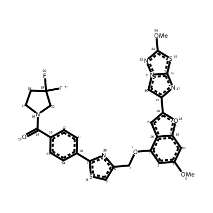 COc1cc(OCc2csc(-c3ccc(C(=O)N4CCC(F)(F)C4)cc3)n2)c2cc(-c3cn4nc(OC)sc4n3)oc2c1